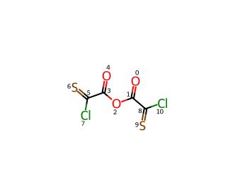 O=C(OC(=O)C(=S)Cl)C(=S)Cl